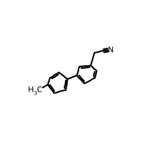 Cc1ccc(-c2cccc(CC#N)c2)cc1